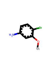 CCOc1cc(N)ccc1Br